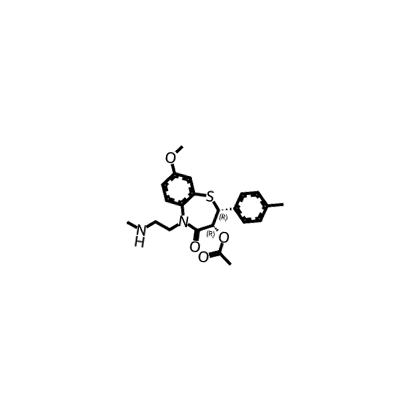 CNCCN1C(=O)[C@@H](OC(C)=O)[C@@H](c2ccc(C)cc2)Sc2cc(OC)ccc21